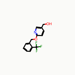 OCc1ccc(OCc2ccccc2C(F)(F)F)nc1